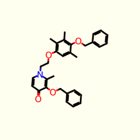 Cc1cc(OCCn2ccc(=O)c(OCc3ccccc3)c2C)c(C)c(C)c1OCc1ccccc1